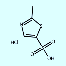 Cc1ncc(S(=O)(=O)O)s1.Cl